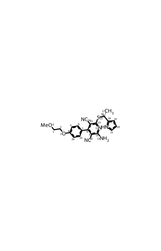 COCCOc1ccc(-c2c(C#N)c(N)nc(S[C@H](C)c3ccc[nH]3)c2C#N)cc1